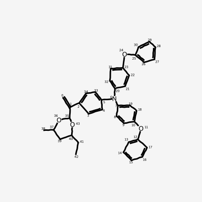 C=C(c1ccc(N(c2ccc(Oc3ccccc3)cc2)c2ccc(Oc3ccccc3)cc2)cc1)C1OC(C)CC(CC)O1